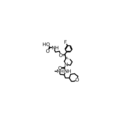 CNCC(CC1CCCOCC1)NC(=O)N1CCC[C@@H]([C@@H](OCCNC(=O)O)c2cccc(F)c2)C1